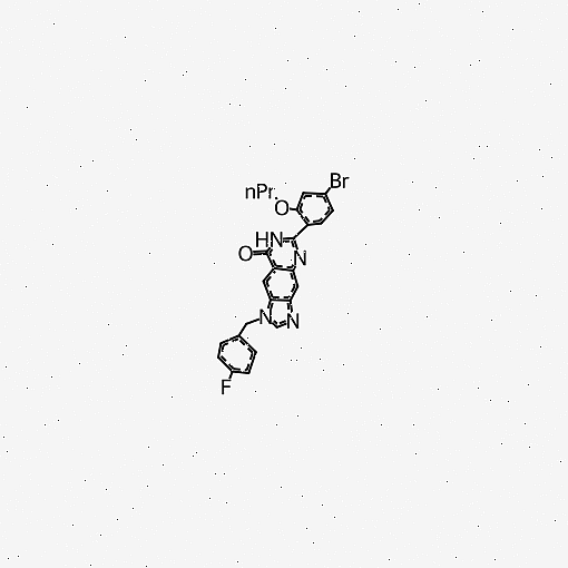 CCCOc1cc(Br)ccc1-c1nc2cc3ncn(Cc4ccc(F)cc4)c3cc2c(=O)[nH]1